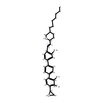 CCCCCCCC1CCC(/C=C/c2ccc(-c3ccc(-c4ccc(C5CO5)c(F)c4F)cc3)cc2F)OC1